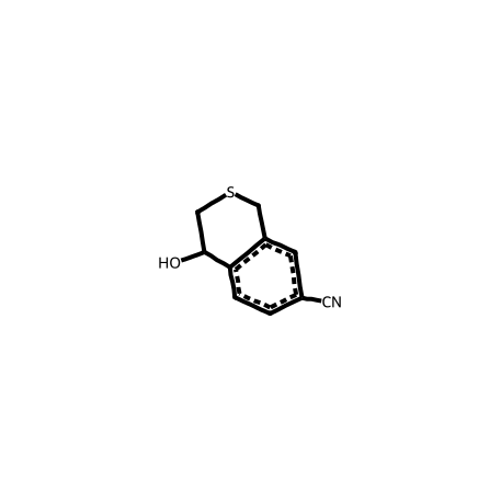 N#Cc1ccc2c(c1)CSCC2O